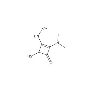 CCCNC1=C(N(C)C)C(=O)C1S